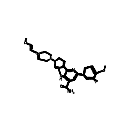 COCCN1CCN(C2C=c3[nH]c4c(C(N)=O)cc(C5C=C(F)C(OC)=CC5)nc4c3=CC2)CC1